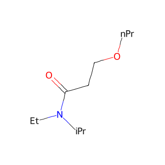 CCCOCCC(=O)N(CC)C(C)C